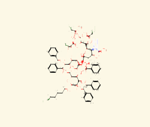 COC(=O)C1(OC2C(O)C(COCc3ccccc3)OC(OC3C(COCc4ccccc4)OC(OCCCCCCl)C(OCc4ccccc4)C3OCc3ccccc3)C2OC(=O)c2ccccc2)CC2OC(=O)NC2C([C@H](OC(=O)CCl)[C@@H](COC(=O)CCl)OC(=O)CCl)O1